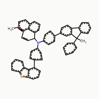 C/C=C\C=C/C(c1cccc2ccccc12)N(c1ccc(-c2ccc3c(c2)C(C)(c2ccccc2)c2ccccc2-3)cc1)c1ccc(-c2cccc3sc4ccccc4c23)cc1